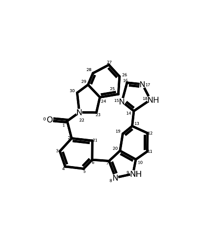 O=C(c1cccc(-c2n[nH]c3ccc(-c4ncn[nH]4)cc23)c1)N1Cc2ccccc2C1